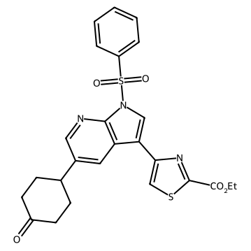 CCOC(=O)c1nc(-c2cn(S(=O)(=O)c3ccccc3)c3ncc(C4CCC(=O)CC4)cc23)cs1